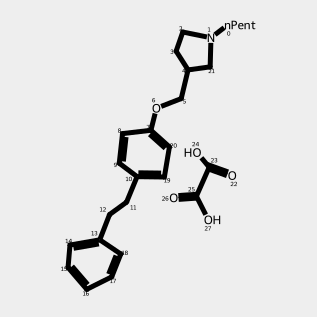 CCCCCN1CCC(COc2ccc(CCc3ccccc3)cc2)C1.O=C(O)C(=O)O